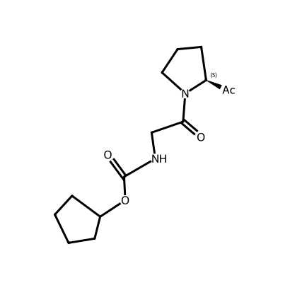 CC(=O)[C@@H]1CCCN1C(=O)CNC(=O)OC1CCCC1